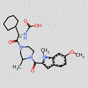 COc1ccc2cc(C(=O)N3CCN(C(=O)[C@@H](NC(=O)O)C4CCCCC4)CC3C)n(C)c2c1